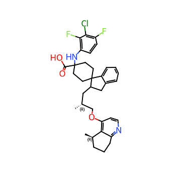 C[C@@H](COc1ccnc2c1[C@H](C)CCC2)CC1Cc2ccccc2C12CCC(Nc1ccc(F)c(Cl)c1F)(C(=O)O)CC2